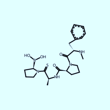 CN[C@@H](Cc1ccccc1)C(=O)N1CCC[C@H]1C(=O)N[C@@H](C)C(=S)N1CCC[C@H]1B(O)O